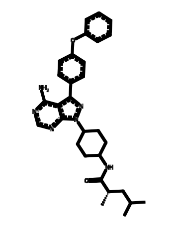 CC(C)C[C@H](C)C(=O)NC1CCC(n2nc(-c3ccc(Oc4ccccc4)cc3)c3c(N)ncnc32)CC1